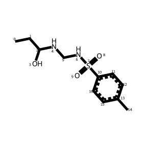 CCC(O)NCNS(=O)(=O)c1ccc(C)cc1